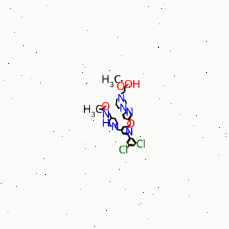 CCOC(O)CCN1CCCN(c2ccc(Oc3cc(CN4CCC(CNC(C)=O)CC4)cc(-c4cc(Cl)cc(Cl)c4)n3)cn2)CC1